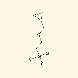 Cl[Si](Cl)(Cl)CCOCC1CO1